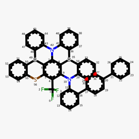 FC(F)(F)c1c2c3c4c5c1N(c1ccccc1-c1ccc(-c6ccccc6)cc1)c1ccccc1B5c1ccccc1N4c1ccccc1B3c1ccccc1S2